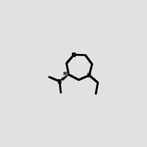 CCN1CCOC[C@@H](N(C)C)C1